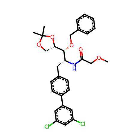 COCC(=O)N[C@H](Cc1ccc(-c2cc(Cl)cc(Cl)c2)cc1)[C@@H](OCc1ccccc1)[C@@H]1COC(C)(C)O1